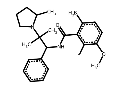 Bc1ccc(OC)c(F)c1C(=O)NC(c1ccccc1)C(C)(C)N1CCCC1C